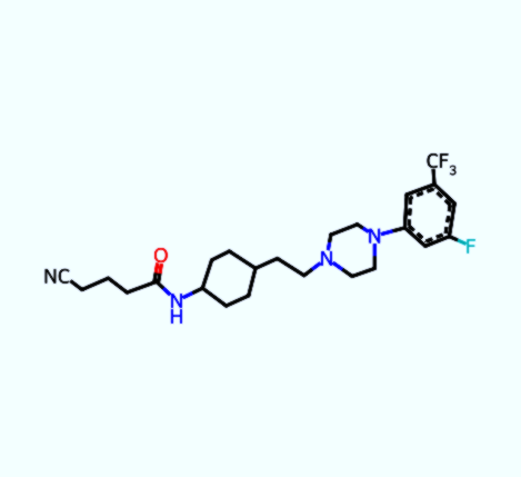 N#CCCCC(=O)NC1CCC(CCN2CCN(c3cc(F)cc(C(F)(F)F)c3)CC2)CC1